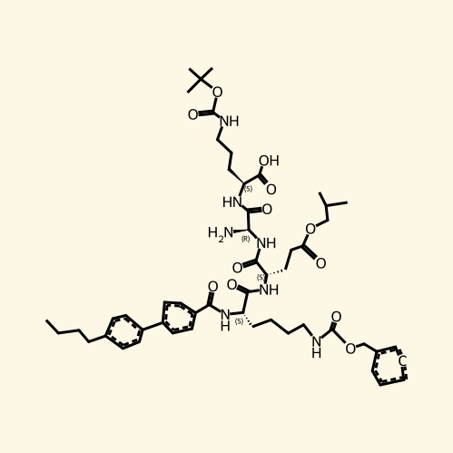 CCCCc1ccc(-c2ccc(C(=O)N[C@@H](CCCCNC(=O)OCc3ccccc3)C(=O)N[C@@H](CCC(=O)OCC(C)C)C(=O)N[C@@H](N)C(=O)N[C@@H](CCCNC(=O)OC(C)(C)C)C(=O)O)cc2)cc1